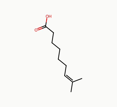 CC(C)=CCCCCCC(=O)O